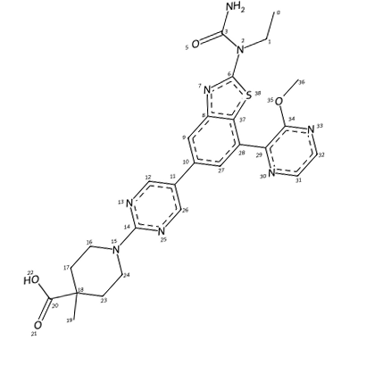 CCN(C(N)=O)c1nc2cc(-c3cnc(N4CCC(C)(C(=O)O)CC4)nc3)cc(-c3nccnc3OC)c2s1